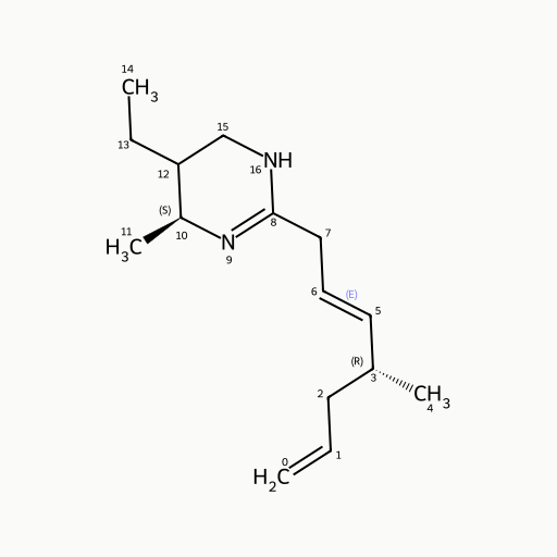 C=CC[C@@H](C)/C=C/CC1=N[C@@H](C)C(CC)CN1